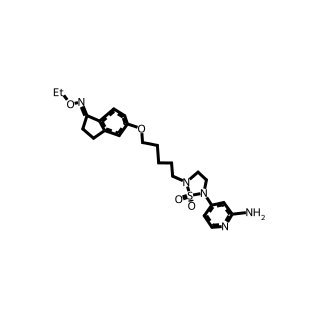 CCON=C1CCc2cc(OCCCCCN3CCN(c4ccnc(N)c4)S3(=O)=O)ccc21